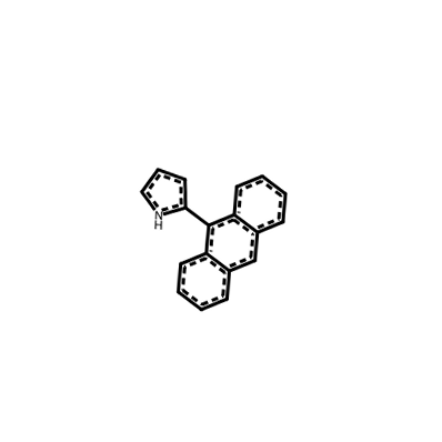 c1c[nH]c(-c2c3ccccc3cc3ccccc23)c1